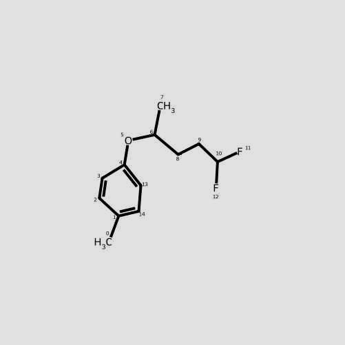 Cc1ccc(OC(C)[CH]CC(F)F)cc1